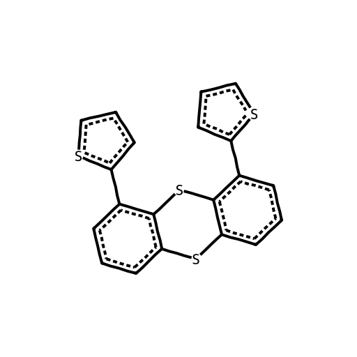 c1csc(-c2cccc3c2Sc2c(cccc2-c2cccs2)S3)c1